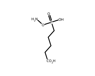 NOP(=O)(O)CCCCC(=O)O